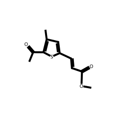 COC(=O)/C=C/c1cc(C)c(C(C)=O)s1